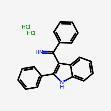 Cl.Cl.N=C(c1ccccc1)c1c(-c2ccccc2)[nH]c2ccccc12